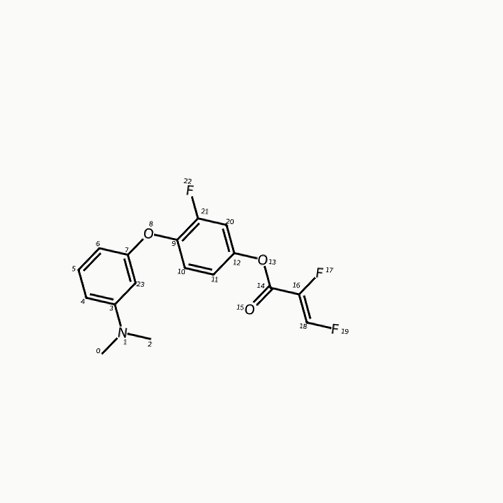 CN(C)c1cccc(Oc2ccc(OC(=O)C(F)=CF)cc2F)c1